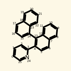 c1ccc(-c2ccc3ccccc3c2-c2cccc3ccccc23)nc1